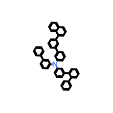 c1ccc(-c2cccc(N(c3cccc(-c4cccc(-c5cccc6ccccc56)c4)c3)c3cccc(-c4ccccc4-c4ccccc4)c3)c2)cc1